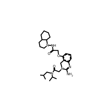 CC(C)CN(C(=O)CN1Cc2c(cccc2OCC(=O)NN2CCCC3CCCCC32)N=C1N)C(C)C